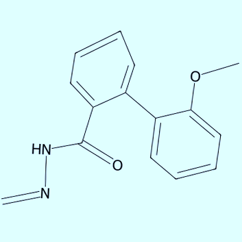 C=NNC(=O)c1ccccc1-c1ccccc1OC